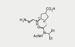 CCC(CC)N(NC(C)=O)C(=O)C[C@H]1CC(C(=O)O)C[C@@H]1NC=NN